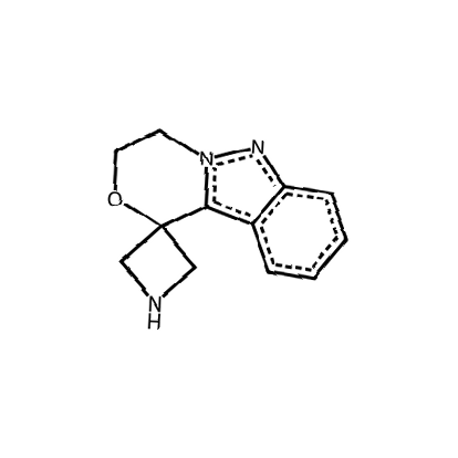 c1ccc2c3n(nc2c1)CCOC31CNC1